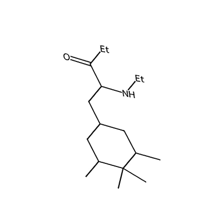 CCNC(CC1CC(C)C(C)(C)C(C)C1)C(=O)CC